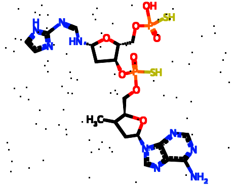 CC1C[C@H](n2cnc3c(N)ncnc32)O[C@@H]1COP(=O)(S)O[C@H]1C[C@H](N/C=N\c2ncc[nH]2)O[C@@H]1COP(=O)(O)S